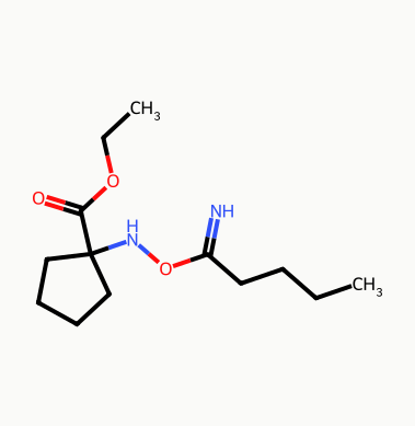 CCCCC(=N)ONC1(C(=O)OCC)CCCC1